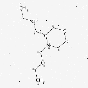 CCOCC1CCCCN1COCC